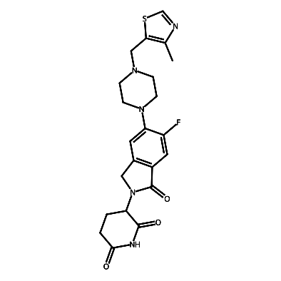 Cc1ncsc1CN1CCN(c2cc3c(cc2F)C(=O)N(C2CCC(=O)NC2=O)C3)CC1